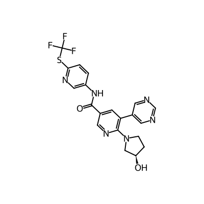 O=C(Nc1ccc(SC(F)(F)F)nc1)c1cnc(N2CC[C@@H](O)C2)c(-c2cncnc2)c1